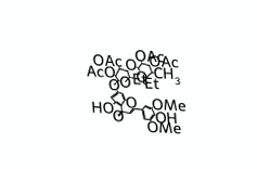 CC[C@H]1O[C@@H](O[C@H]2[C@H](OC(C)=O)[C@@H](OC(C)=O)[C@H](Oc3cc(O)c4c(=O)cc(-c5cc(OC)c(O)c(OC)c5)oc4c3)O[C@@H]2CC)[C@H](OC(C)=O)[C@@H](OC(C)=O)[C@H]1C